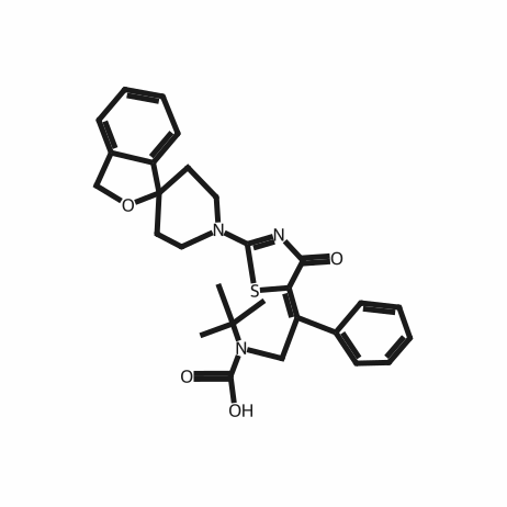 CC(C)(C)N(C/C(=C1\SC(N2CCC3(CC2)OCc2ccccc23)=NC1=O)c1ccccc1)C(=O)O